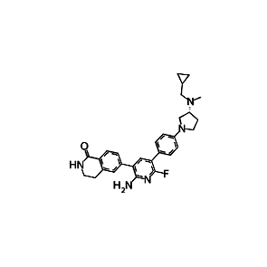 CN(CC1CC1)[C@@H]1CCN(c2ccc(-c3cc(-c4ccc5c(c4)CCNC5=O)c(N)nc3F)cc2)C1